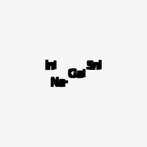 [Ga].[In].[Na].[Sn]